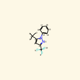 CC(C)(C)c1cc(C(F)(F)F)nn1-c1ccccc1